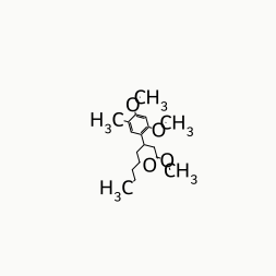 CCCCCC(CC(=O)OC)c1cc(C)c(OC)cc1OC